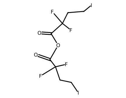 O=C(OC(=O)C(F)(F)CCI)C(F)(F)CCI